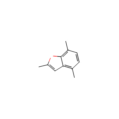 Cc1cc2c(C)ccc(C)c2o1